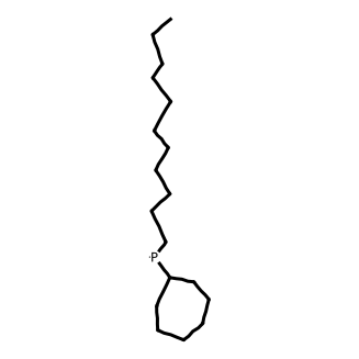 CCCCCCCCCCC[P]C1CCCCCC1